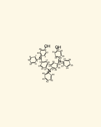 Oc1ccc(N(c2ccccc2)c2ccc3c(c2)c2cc(N(c4ccccc4)c4ccc(O)cc4)ccc2n3-c2ccccc2)cc1